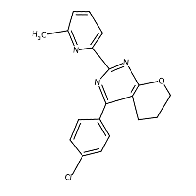 Cc1cccc(-c2nc3c(c(-c4ccc(Cl)cc4)n2)CCCO3)n1